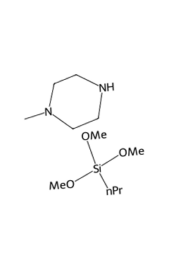 CCC[Si](OC)(OC)OC.CN1CCNCC1